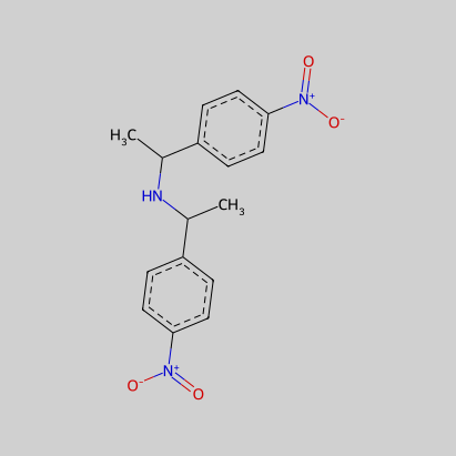 CC(NC(C)c1ccc([N+](=O)[O-])cc1)c1ccc([N+](=O)[O-])cc1